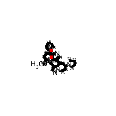 COc1ccc(CN2C3CC2CN(c2ccc(C4=CC(N5CCCC5)C=Cn5ncc(C#N)c54)cn2)C3)cn1